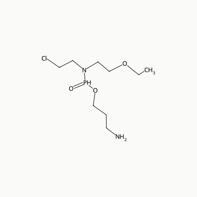 CCOCCN(CCCl)[PH](=O)OCCCN